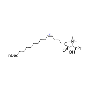 CCCCCCCCCCCCCCCCCC/C=C\CCCOP(=O)(O)C(CCC)[N+](C)(C)C